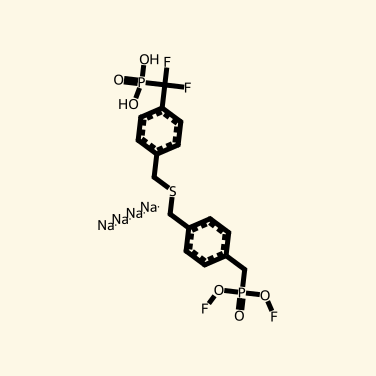 O=P(Cc1ccc(CSCc2ccc(C(F)(F)P(=O)(O)O)cc2)cc1)(OF)OF.[Na].[Na].[Na].[Na]